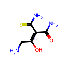 NC/C(O)=C(/C(N)=O)C(N)=S